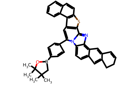 CC1(C)CB(c2ccc(-c3cc4c(sc5ccc6ccccc6c54)c4nc5c6cc7c(cc6ccc5n34)CCC=C7)cc2)OC1(C)C